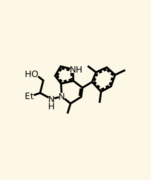 CCC(CO)NN1c2cc[nH]c2C(c2c(C)cc(C)cc2C)=CC1C